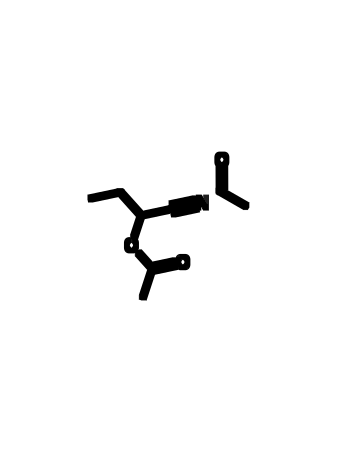 CC=O.CCC(C#N)OC(C)=O